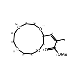 COC(=O)C(C)=CC1COCCOCCOCCO1